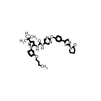 CCCCOc1cccc(-n2nc(C(C)(C)C)cc2NC(=O)Nc2cnc(Oc3ccc(-c4cnc(N5CCCCC5=O)s4)cc3)nc2)c1